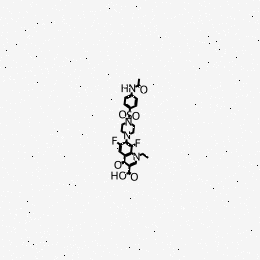 CCn1cc(C(=O)O)c(=O)c2cc(F)c(N3CCN(S(=O)(=O)c4ccc(NC(C)=O)cc4)CC3)c(F)c21